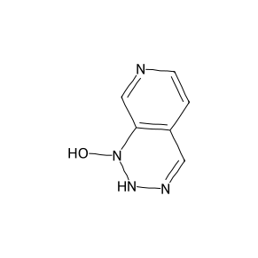 ON1NN=Cc2ccncc21